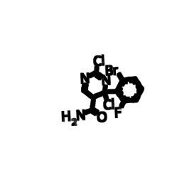 NC(=O)C1C=NC(Cl)=NC1(Cl)c1c(F)cccc1Br